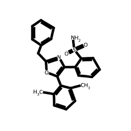 Cc1cccc(C)c1-c1oc(Cc2ccccc2)nc1-c1ccccc1S(N)(=O)=O